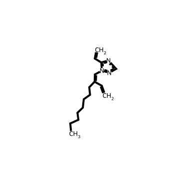 C=C/C(=C\n1ncnc1C=C)CCCCCCCC